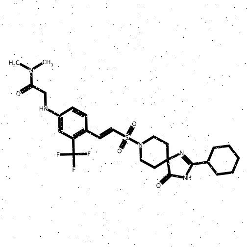 CN(C)C(=O)CNc1ccc(C=CS(=O)(=O)N2CCC3(CC2)N=C(C2CCCCC2)NC3=O)c(C(F)(F)F)c1